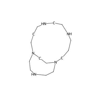 C1CNCCNCCCN2CCNCCN(C1)CC2